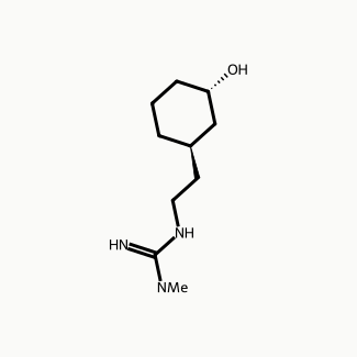 CNC(=N)NCC[C@H]1CCC[C@H](O)C1